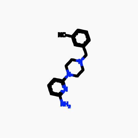 N#Cc1cccc(CN2CCN(c3cccc(N)n3)CC2)c1